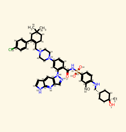 CC[C@]1(O)CC[C@H](CNc2ccc(S(=O)(=O)NC(=O)c3ccc(N4CCN(CC5=C(c6ccc(Cl)cc6)CC(C)(C)CC5)CC4)cc3-n3ncc4nc5[nH]ccc5cc43)cc2N=O)CC1